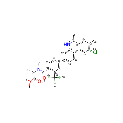 COC(=O)C(C)N(C)C(=O)c1ccc(-c2cccc(NC(C)c3ccc(Cl)c(C)c3)c2)cc1C(F)(F)F